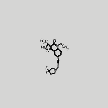 CCn1c(=O)c2c(C)[nH]nc2c2cc(C#CCN3CCC(F)(F)C3)ccc21